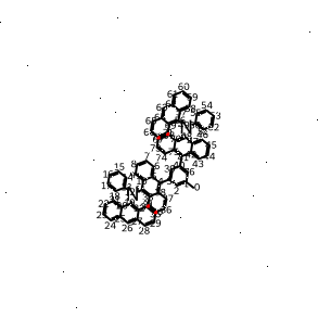 Cc1cc(-c2c3ccccc3c(N(c3ccccc3)c3c4ccccc4cc4ccccc34)c3ccccc23)cc(-c2c3ccccc3c(N(c3ccccc3)c3c4ccccc4cc4ccccc34)c3ccccc23)c1